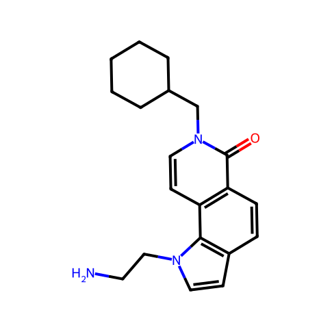 NCCn1ccc2ccc3c(=O)n(CC4CCCCC4)ccc3c21